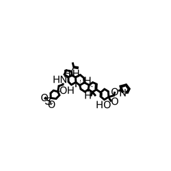 C=C(C)[C@@H]1CC[C@]2(NCC[C@]3(O)CC[C@H](S(C)(=O)=O)CC3)CC[C@]3(C)[C@H](CC[C@@H]4[C@@]5(C)CC=C(C6=CCC(COc7ccccn7)(C(=O)O)CC6)C(C)(C)[C@@H]5CC[C@]43C)[C@@H]12